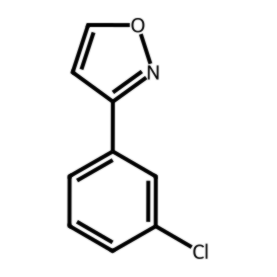 Clc1cccc(-c2ccon2)c1